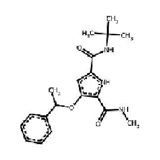 CNC(=O)c1[nH]c(C(=O)NC(C)(C)C)cc1OC(C)c1ccccc1